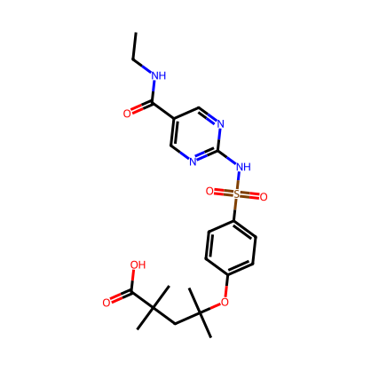 CCNC(=O)c1cnc(NS(=O)(=O)c2ccc(OC(C)(C)CC(C)(C)C(=O)O)cc2)nc1